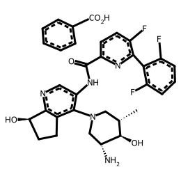 C[C@H]1CN(c2c(NC(=O)c3ccc(F)c(-c4c(F)cccc4F)n3)cnc3c2CC[C@H]3O)C[C@@H](N)[C@@H]1O.O=C(O)c1ccccc1